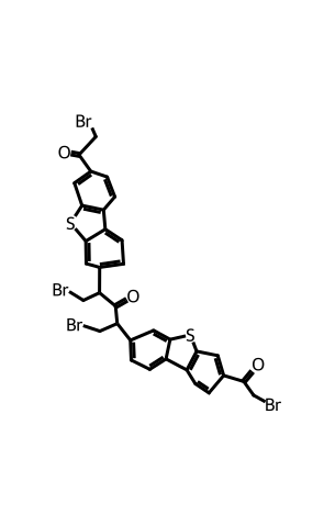 O=C(CBr)c1ccc2c(c1)sc1cc(C(CBr)C(=O)C(CBr)c3ccc4c(c3)sc3cc(C(=O)CBr)ccc34)ccc12